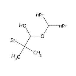 CCCC(CCC)OC(O)C(C)(C)CC